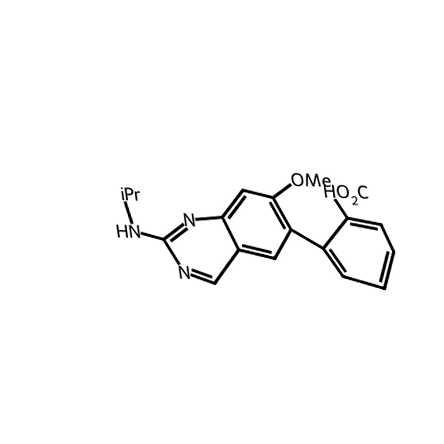 COc1cc2nc(NC(C)C)ncc2cc1-c1ccccc1C(=O)O